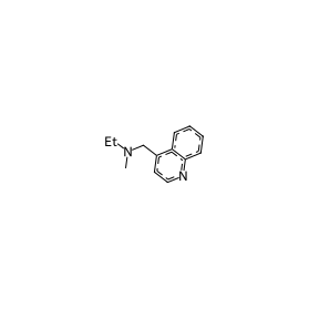 CCN(C)Cc1ccnc2ccccc12